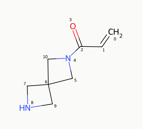 C=CC(=O)N1CC2(CNC2)C1